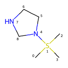 CS(C)(C)N1CCNC1